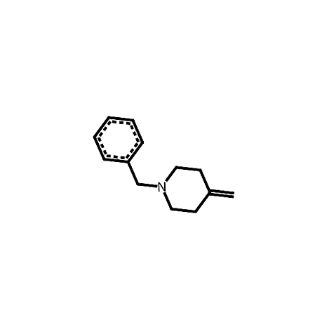 C=C1CCN(Cc2ccccc2)CC1